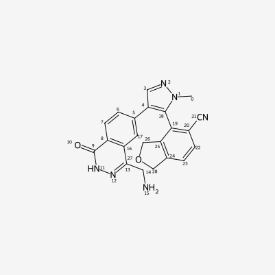 Cn1ncc(-c2ccc3c(=O)[nH]nc(CN)c3c2)c1-c1c(C#N)ccc2c1COC2